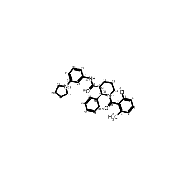 Cc1cccc(Cl)c1C(=O)N1CCC[C@H](C(=O)Nc2cccc(N3CCCC3)c2)[C@@H]1C1C=CC=CC1